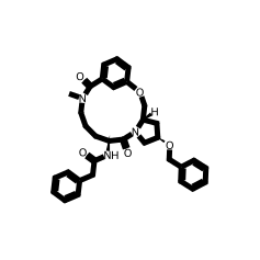 CN1CCC[C@H](NC(=O)Cc2ccccc2)C(=O)N2C[C@@H](OCc3ccccc3)C[C@H]2COc2cccc(c2)C1=O